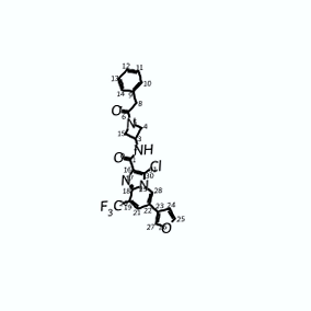 O=C(NC1CN(C(=O)Cc2ccccc2)C1)c1nc2c(C(F)(F)F)cc(-c3ccoc3)cn2c1Cl